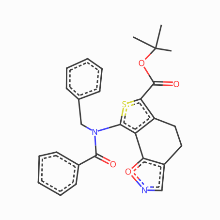 CC(C)(C)OC(=O)c1sc(N(Cc2ccccc2)C(=O)c2ccccc2)c2c1CCc1cnoc1-2